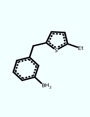 Bc1cccc(Cc2ccc(CC)s2)c1